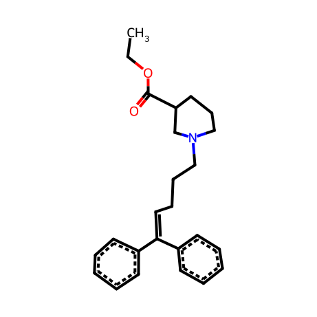 CCOC(=O)C1CCCN(CCCC=C(c2ccccc2)c2ccccc2)C1